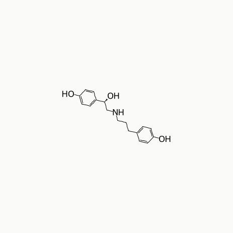 Oc1ccc(CCCNC[C@H](O)c2ccc(O)cc2)cc1